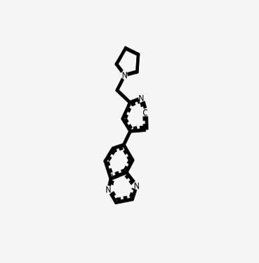 c1cc(-c2ccc3nccnc3c2)cc(CN2CCCC2)n1